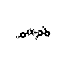 C#Cc1ccccc1C1=CCN(c2nc3ncc(-c4ccc(Cl)cc4)nc3s2)C(C#N)=C1